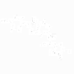 Cc1cc(C(=O)Nc2cnc3[nH]c(-c4ccc(F)cc4)cc3c2)[nH]n1